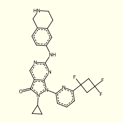 O=c1c2cnc(Nc3ccc4c(c3)CCNC4)nc2n(-c2cccc(C3(F)CC(F)(F)C3)n2)n1C1CC1